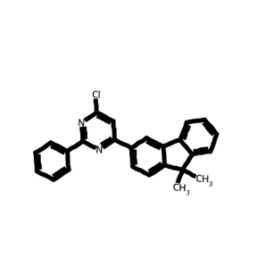 CC1(C)c2ccccc2-c2cc(-c3cc(Cl)nc(-c4ccccc4)n3)ccc21